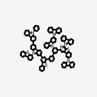 c1ccc(-n2c3ccccc3c3cc(-c4ccc5c(c4)c4ccc(-c6cc(-c7cccc(-c8cc(-c9cc%10c(sc%11ccc(-n%12c%13ccccc%13c%13ccccc%13%12)cc%11%10)c(-n%10c%11ccccc%11c%11ccccc%11%10)n9)cc(-n9c%10ccccc%10c%10cc(-n%11c%12ccccc%12c%12ccccc%12%11)ccc%109)c8)c7)c7sc8ccccc8c7c6)cc4n5-c4cccc5c4sc4ccccc45)ccc32)cc1